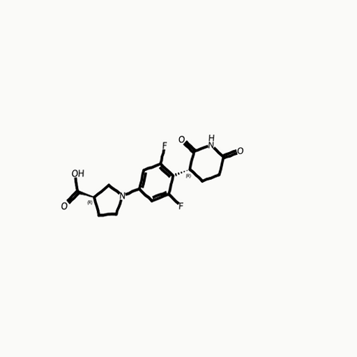 O=C1CC[C@H](c2c(F)cc(N3CC[C@@H](C(=O)O)C3)cc2F)C(=O)N1